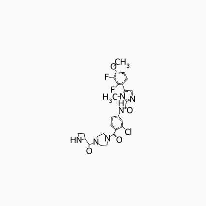 COc1ccc(-c2cnc(C(=O)Nc3ccc(C(=O)N4CCN(C(=O)C5CCN5)CC4)c(Cl)c3)n2C)c(F)c1F